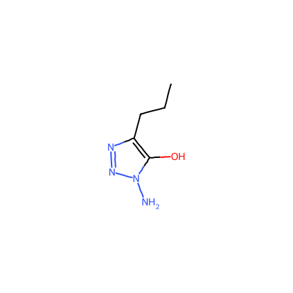 CCCc1nnn(N)c1O